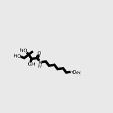 CCCCCCCCCCCCCCCCNC(=O)C(O)C(C)(O)CO